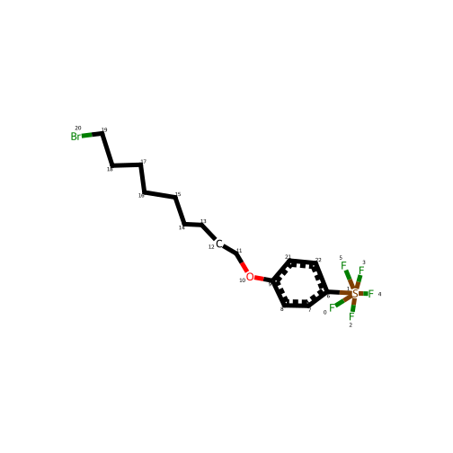 FS(F)(F)(F)(F)c1ccc(OCCCCCCCCCBr)cc1